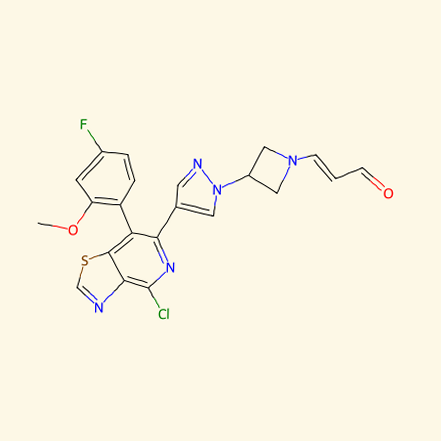 COc1cc(F)ccc1-c1c(-c2cnn(C3CN(C=CC=O)C3)c2)nc(Cl)c2ncsc12